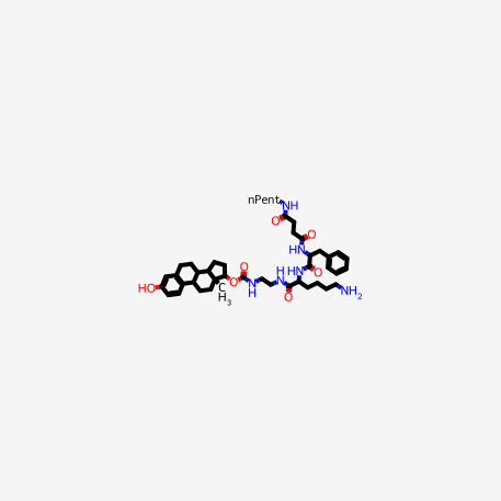 CCCCCNC(=O)CCC(=O)NC(Cc1ccccc1)C(=O)NC(CCCCN)C(=O)NCCNC(=O)OC1CCC2C3CCc4cc(O)ccc4C3CCC12C